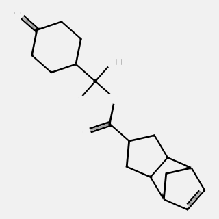 CC(C)(OC(=O)C1CC2C3C=CC(C3)C2C1)C1CCC(=O)CC1